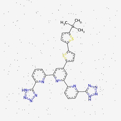 C[Si](C)(C)c1ccc(-c2ccc(-c3cc(-c4cccc(-c5nnn[nH]5)n4)nc(-c4cccc(-c5nnn[nH]5)n4)c3)s2)s1